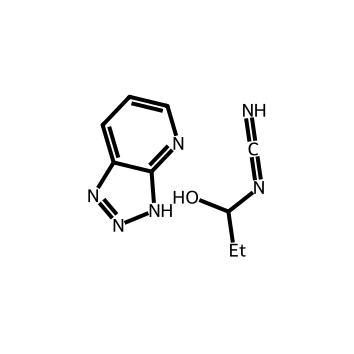 CCC(O)N=C=N.c1cnc2[nH]nnc2c1